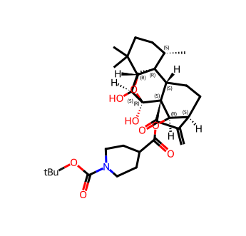 C=C1C(=O)[C@]23[C@H](OC(=O)C4CCN(C(=O)OC(C)(C)C)CC4)[C@H]1CC[C@H]2[C@@]12CO[C@@]3(O)[C@@H](O)[C@@H]1C(C)(C)CC[C@@H]2C